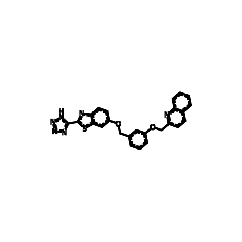 c1cc(COc2ccc3nc(-c4nnn[nH]4)sc3c2)cc(OCc2ccc3ccccc3n2)c1